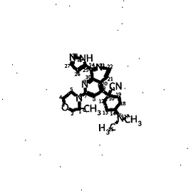 C[C@@H]1COCCN1c1cc(C2(C#N)CCC(N(C)C)CC2)c2ccnc(-c3ccn[nH]3)c2n1